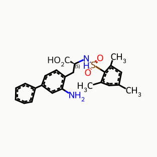 Cc1cc(C)c(S(=O)(=O)N[C@@H](Cc2ccc(-c3ccccc3)cc2N)C(=O)O)c(C)c1